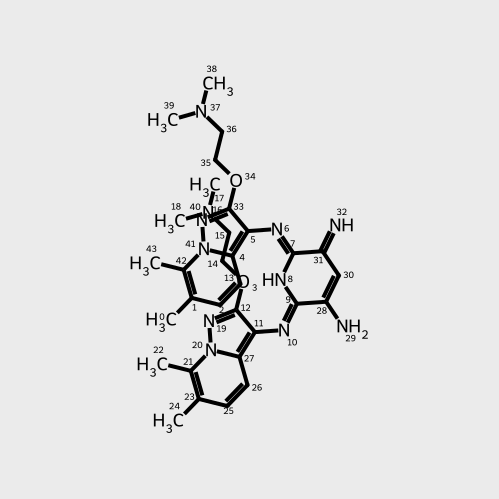 Cc1ccc2c(/N=C3\N/C(=N\c4c(OCCN(C)C)nn5c(C)c(C)ccc45)C(N)=CC3=N)c(OCCN(C)C)nn2c1C